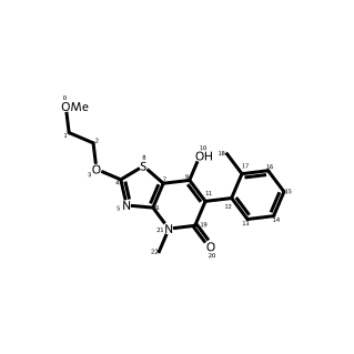 COCCOc1nc2c(s1)c(O)c(-c1ccccc1C)c(=O)n2C